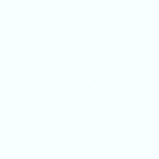 CCc1c(N2CCN(C(=O)c3nc4ccnn4c(C)c3O)CC2)c(=O)n2nc(-c3ccccc3)nc2n1CC(=O)Nc1ccc(C(F)(F)F)cc1Cl